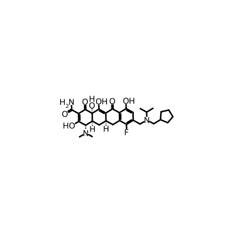 CC(C)N(Cc1cc(O)c2c(c1F)C[C@H]1C[C@H]3[C@H](N(C)C)C(O)=C(C(N)=O)C(=O)[C@@]3(O)C(O)=C1C2=O)CC1CCCC1